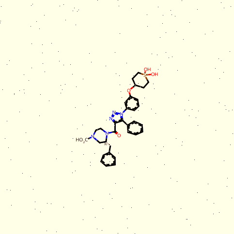 O=C(O)N1CCN(C(=O)c2nnn(-c3cccc(OC4CCS(O)(O)CC4)c3)c2-c2ccccc2)[C@H](Cc2ccccc2)C1